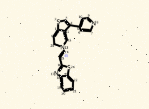 C1=c2scc(-c3ccncc3)c2=CN(/C=C/c2nc3ccccc3s2)C1